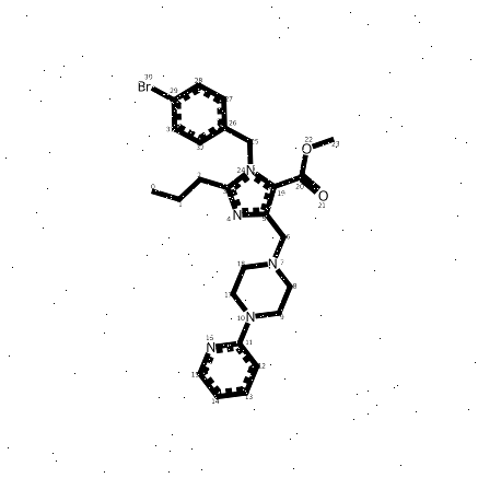 CCCc1nc(CN2CCN(c3ccccn3)CC2)c(C(=O)OC)n1Cc1ccc(Br)cc1